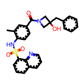 Cc1cc(C(=O)N2CC(O)(Cc3ccccc3)C2)ccc1NS(=O)(=O)c1cccc2cccnc12